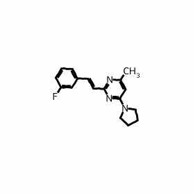 Cc1cc(N2CCCC2)nc(C=Cc2cccc(F)c2)n1